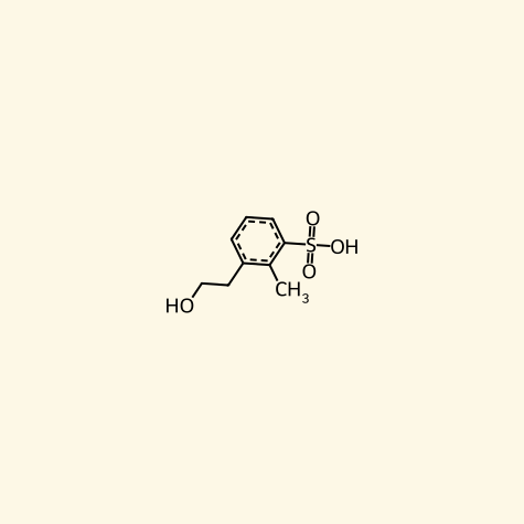 Cc1c(CCO)cccc1S(=O)(=O)O